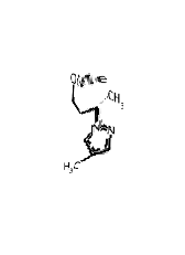 COC[C@H](C)n1cc(C)cn1